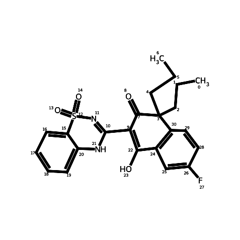 CCCC1(CCC)C(=O)C(C2=NS(=O)(=O)c3ccccc3N2)=C(O)c2cc(F)ccc21